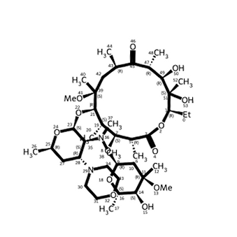 CC[C@H]1OC(=O)[C@H](C)[C@@H](O[C@H]2C[C@@](C)(OC)[C@@H](O)[C@H](C)O2)[C@H](C)[C@@H](O[C@@H]2O[C@H](C)C[C@@H](N3CCOCC3)[C@@H]2N(C)C)[C@@](C)(OC)C[C@@H](C)C(=O)[C@H](C)[C@@H](O)[C@]1(C)O